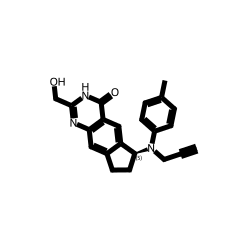 C#CCN(c1ccc(C)cc1)[C@H]1CCc2cc3nc(CO)[nH]c(=O)c3cc21